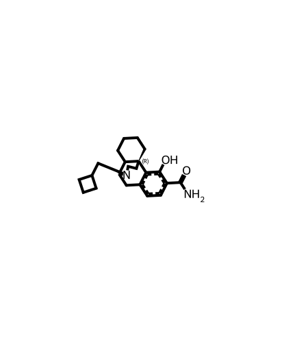 NC(=O)c1ccc2c(c1O)[C@@]13CCCCC1C(C2)N(CC1CCC1)CC3